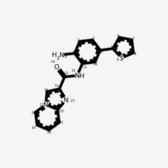 Nc1ccc(-c2cccs2)cc1NC(=O)c1cn2ccccc2n1